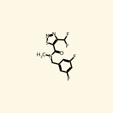 CN(Cc1cc(F)cc(F)c1)C(=O)c1snnc1C(F)F